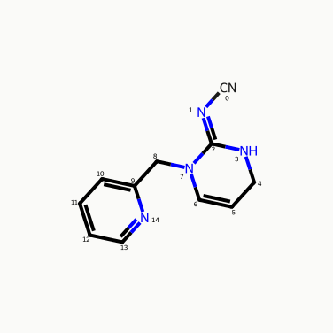 N#CN=C1NCC=CN1Cc1ccccn1